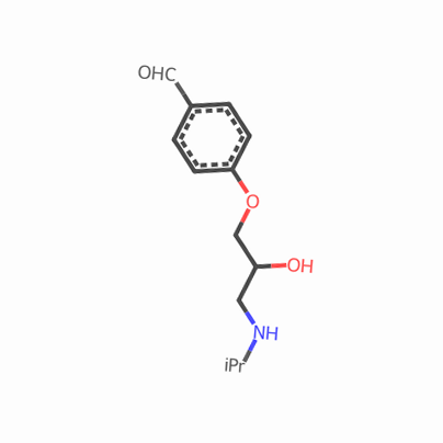 CC(C)NCC(O)COc1ccc(C=O)cc1